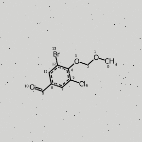 COCOc1c(Cl)cc(C=O)cc1Br